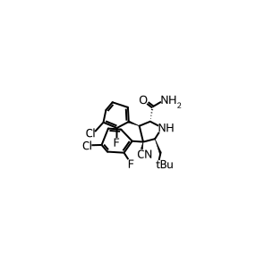 CC(C)(C)C[C@@H]1N[C@@H](C(N)=O)[C@H](c2cccc(Cl)c2F)[C@@]1(C#N)c1ccc(Cl)cc1F